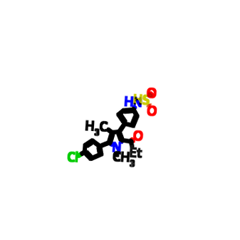 CCC(=O)c1c(-c2ccc(N[SH](=O)=O)cc2)c(C)c(-c2ccc(Cl)cc2)n1C